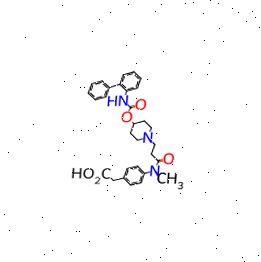 CN(C(=O)CCN1CCC(OC(=O)Nc2ccccc2-c2ccccc2)CC1)c1ccc(CC(=O)O)cc1